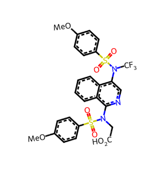 COc1ccc(S(=O)(=O)N(CC(=O)O)c2ncc(N(C(F)(F)F)S(=O)(=O)c3ccc(OC)cc3)c3ccccc23)cc1